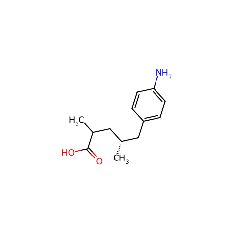 CC(C[C@@H](C)Cc1ccc(N)cc1)C(=O)O